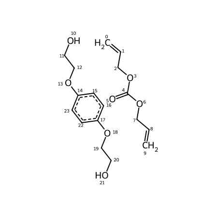 C=CCOC(=O)OCC=C.OCCOc1ccc(OCCO)cc1